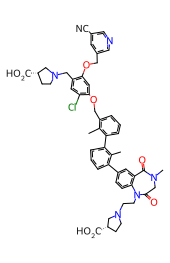 Cc1c(COc2cc(OCc3cncc(C#N)c3)c(CN3CC[C@H](C(=O)O)C3)cc2Cl)cccc1-c1cccc(-c2ccc3c(c2)C(=O)N(C)CC(=O)N3CCN2CC[C@H](C(=O)O)C2)c1C